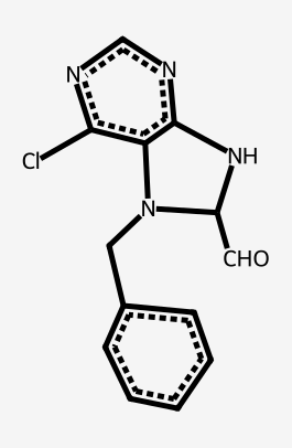 O=CC1Nc2ncnc(Cl)c2N1Cc1ccccc1